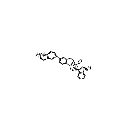 O=C(Nc1c[nH]c2ccccc12)N1CCc2cc(-c3ccc4[nH]ccc4c3)ccc2C1